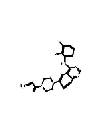 C=CC(=O)N1CCN(c2ccc3ncnc(Nc4cccc(Cl)c4F)c3c2)CC1